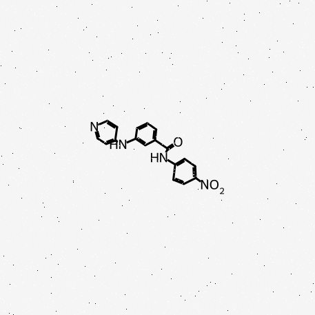 O=C(Nc1ccc([N+](=O)[O-])cc1)c1cccc(Nc2ccncc2)c1